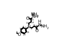 COc1ccc(N(CCC(=O)NN)CCC(=O)NN)cc1